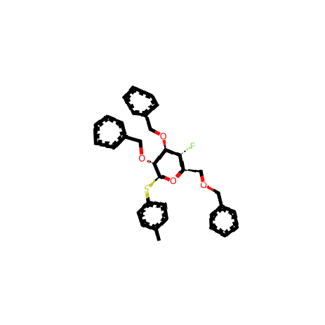 Cc1ccc(S[C@@H]2O[C@H](COCc3ccccc3)[C@@H](F)[C@H](OCc3ccccc3)[C@H]2OCc2ccccc2)cc1